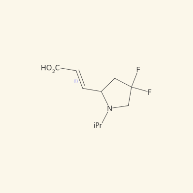 CC(C)N1CC(F)(F)CC1/C=C/C(=O)O